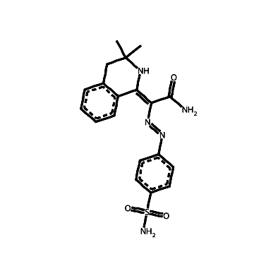 CC1(C)Cc2ccccc2C(=C(N=Nc2ccc(S(N)(=O)=O)cc2)C(N)=O)N1